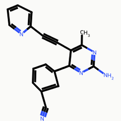 Cc1nc(N)nc(-c2cccc(C#N)c2)c1C#Cc1ccccn1